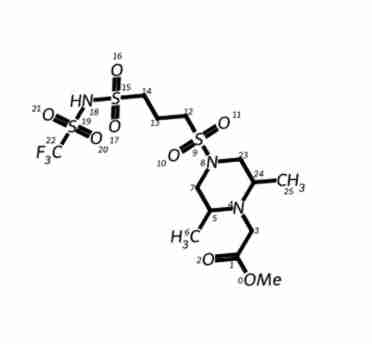 COC(=O)CN1C(C)CN(S(=O)(=O)CCCS(=O)(=O)NS(=O)(=O)C(F)(F)F)CC1C